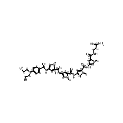 Cn1cc(NC(=O)c2ccc(N(CCBr)CCBr)cc2)cc1C(=O)Nc1cc(C(=O)Nc2cc(C(=O)Nc3cc(C(=O)NCCC(=N)N)n(C)n3)n(C)n2)n(C)c1